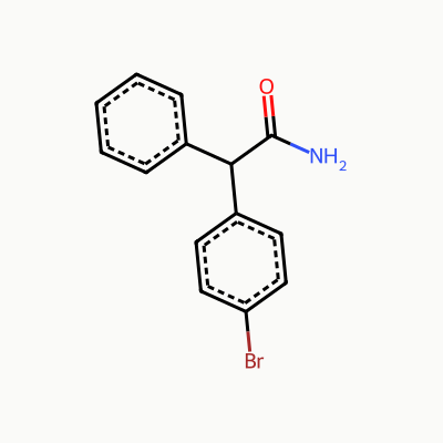 NC(=O)C(c1ccccc1)c1ccc(Br)cc1